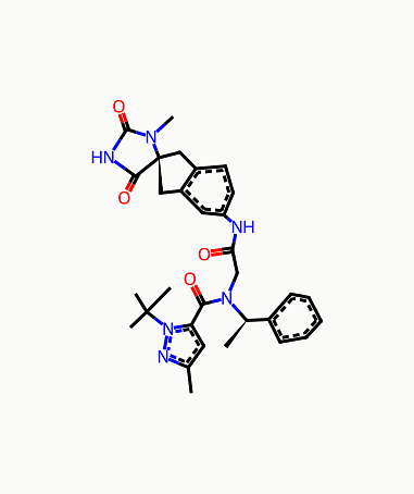 Cc1cc(C(=O)N(CC(=O)Nc2ccc3c(c2)C[C@@]2(C3)C(=O)NC(=O)N2C)[C@H](C)c2ccccc2)n(C(C)(C)C)n1